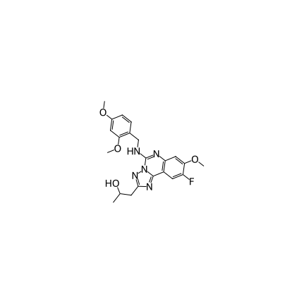 COc1ccc(CNc2nc3cc(OC)c(F)cc3c3nc(CC(C)O)nn23)c(OC)c1